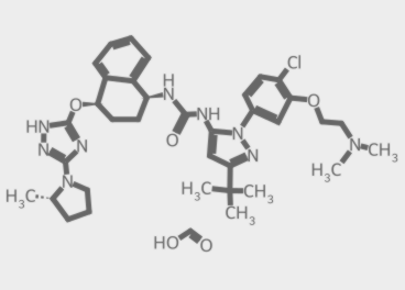 C[C@H]1CCCN1c1n[nH]c(O[C@@H]2CC[C@H](NC(=O)Nc3cc(C(C)(C)C)nn3-c3ccc(Cl)c(OCCN(C)C)c3)c3ccccc32)n1.O=CO